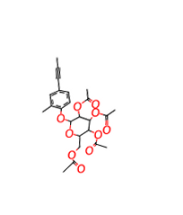 CC#Cc1ccc(OC2OC(COC(C)=O)C(OC(C)=O)C(OC(C)=O)C2OC(C)=O)c(C)c1